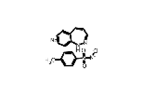 C1=Cc2ccccc2NN=C1.Cc1ccc(S(=O)(=O)[N-]Cl)cc1.[Na+]